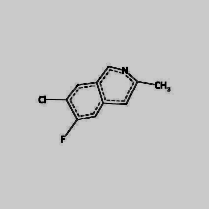 Cc1cc2cc(F)c(Cl)cc2cn1